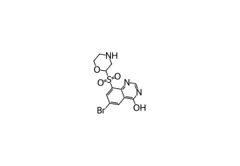 O=S(=O)(c1cc(Br)cc2c(O)ncnc12)C1CNCCO1